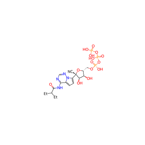 CCC(CC)C(=O)Nc1ncnn2c([C@]3(C#N)O[C@H](COP(=O)(O)OP(=O)(O)OP(=O)(O)O)[C@@H](O)[C@H]3O)ccc12